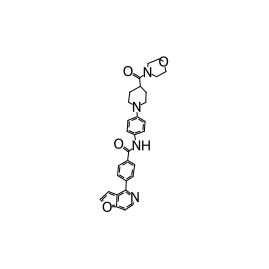 O=C(Nc1ccc(N2CCC(C(=O)N3CCOCC3)CC2)cc1)c1ccc(-c2nccc3occc23)cc1